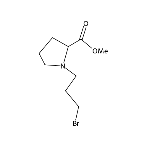 COC(=O)C1CCCN1CCCBr